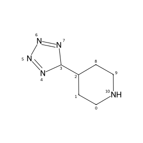 C1CC(C2N=NN=N2)CCN1